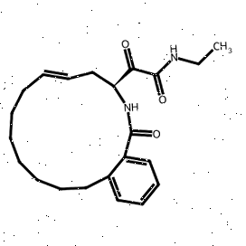 CCNC(=O)C(=O)[C@@H]1C/C=C/CCCCCCCc2ccccc2C(=O)N1